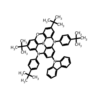 CC(C)(C)c1ccc(N2c3cc(C(C)(C)C)cc4c3B3c5c(cc(C(C)(C)C)cc5N(c5ccc(C(C)(C)C)cc5)c5cc(-n6c7ccccc7c7ccccc76)cc2c53)O4)cc1